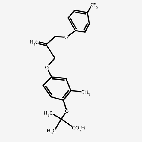 C=C(COc1ccc(C(F)(F)F)cc1)COc1ccc(OC(C)(C)C(=O)O)c(C)c1